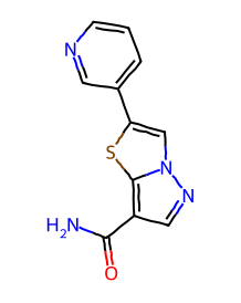 NC(=O)c1cnn2cc(-c3cccnc3)sc12